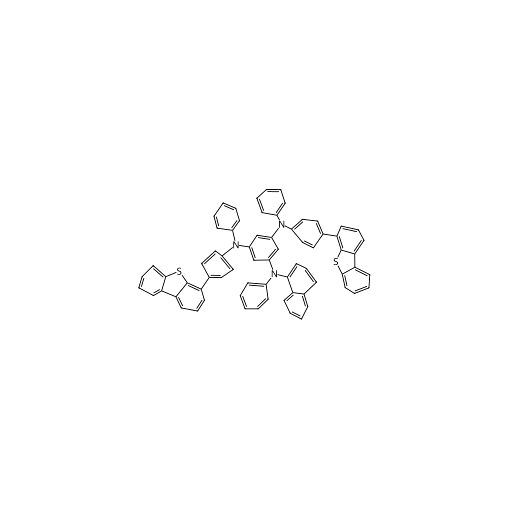 c1ccc(N(c2ccc(-c3cccc4c3sc3ccccc34)cc2)c2cc(N(c3ccccc3)c3ccc(-c4cccc5c4sc4ccccc45)cc3)cc(N(c3ccccc3)c3cccc4ccccc34)c2)cc1